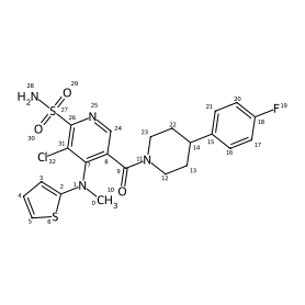 CN(c1cccs1)c1c(C(=O)N2CCC(c3ccc(F)cc3)CC2)cnc(S(N)(=O)=O)c1Cl